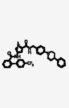 Cn1cc(NC(=O)c2ccccc2-c2ccc(C(F)(F)F)cc2)cc1C(=O)NCc1ccc(N2CCC(c3ccccc3)CC2)cc1